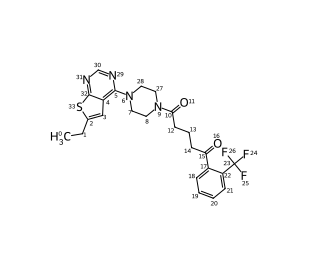 CCc1cc2c(N3CCN(C(=O)CCCC(=O)c4ccccc4C(F)(F)F)CC3)ncnc2s1